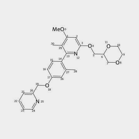 COc1cc(OCC2COCCO2)nc(-c2ccc(OCc3ccccn3)cc2C)c1C